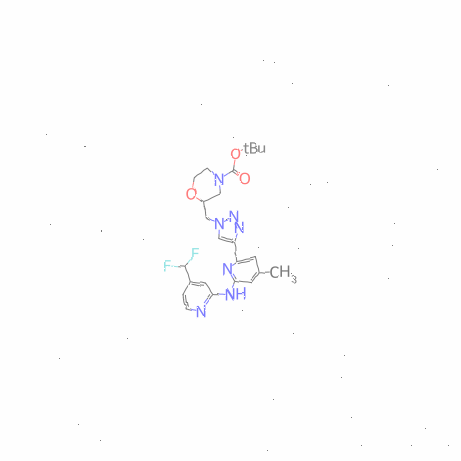 Cc1cc(Nc2cc(C(F)F)ccn2)nc(-c2cn(CC3CN(C(=O)OC(C)(C)C)CCO3)nn2)c1